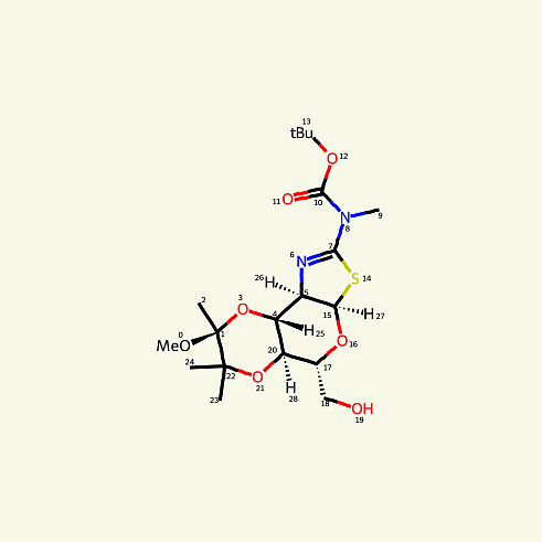 CO[C@@]1(C)O[C@@H]2[C@H]3N=C(N(C)C(=O)OC(C)(C)C)S[C@H]3O[C@H](CO)[C@H]2OC1(C)C